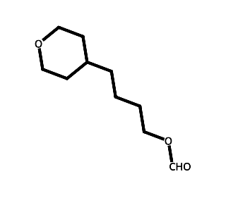 O=COCCCCC1CCOCC1